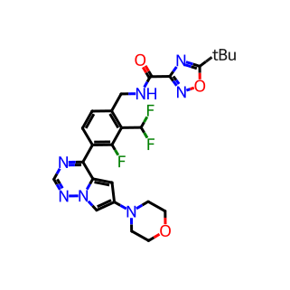 CC(C)(C)c1nc(C(=O)NCc2ccc(-c3ncnn4cc(N5CCOCC5)cc34)c(F)c2C(F)F)no1